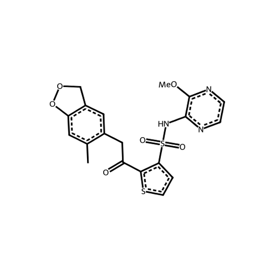 COc1nccnc1NS(=O)(=O)c1ccsc1C(=O)Cc1cc2c(cc1C)OOC2